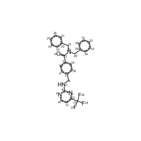 O=C(c1ccc(CNc2nccc(C(F)(F)F)n2)cc1)N(Cc1ccccc1)Cc1ccccc1